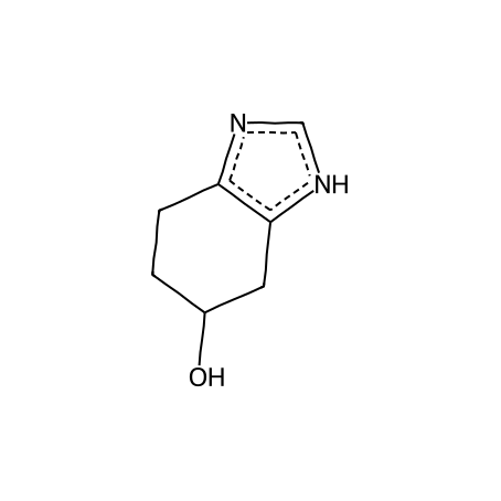 OC1CCc2nc[nH]c2C1